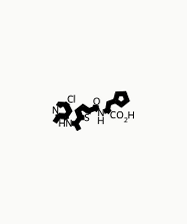 Cc1ncc(Cl)cc1NC(C)c1ccc(C(=O)NC(CC2CCCC2)C(=O)O)s1